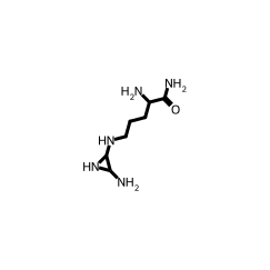 NC(=O)C(N)CCCNC1NC1N